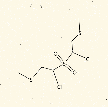 CSCC(Cl)S(=O)(=O)C(Cl)CSC